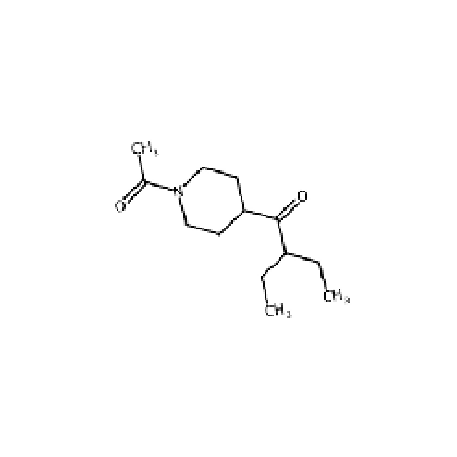 CCC(CC)C(=O)C1CCN(C(C)=O)CC1